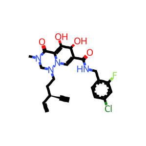 C#C[C@@H](C=C)CCN1CN(C)C(=O)C2=C(O)C(O)C(C(=O)NCc3ccc(Cl)cc3F)=CN21